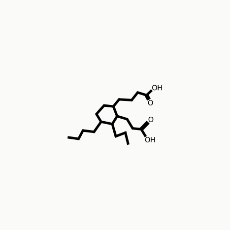 CCCCC1CCC(CCCC(=O)O)C(CCC(=O)O)C1CCC